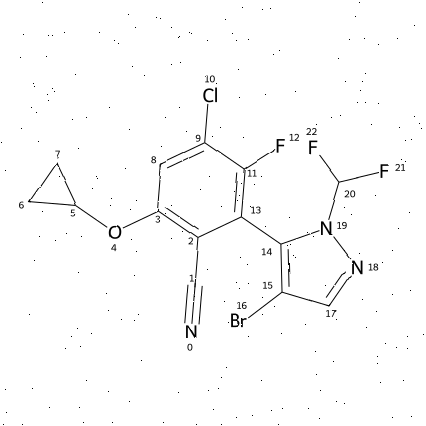 N#Cc1c(OC2CC2)cc(Cl)c(F)c1-c1c(Br)cnn1C(F)F